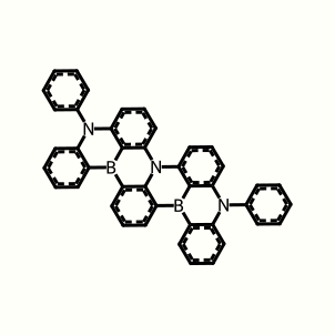 c1ccc(N2c3ccccc3B3c4cccc5c4N(c4cccc2c43)c2cccc3c2B5c2ccccc2N3c2ccccc2)cc1